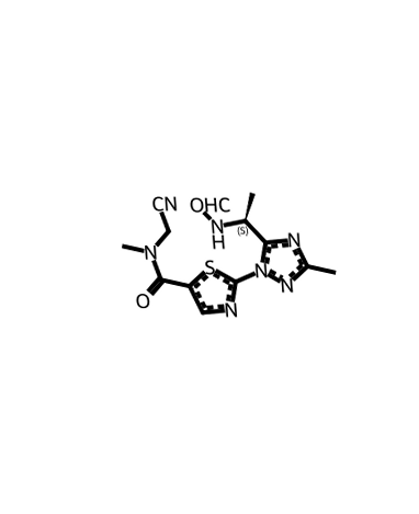 Cc1nc([C@H](C)NC=O)n(-c2ncc(C(=O)N(C)CC#N)s2)n1